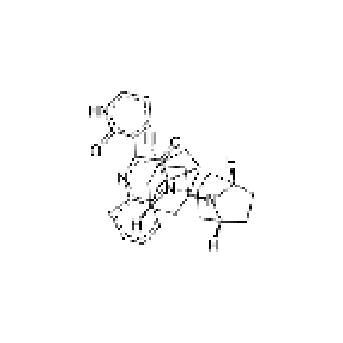 O=c1[nH]cccc1-c1nc2ccccc2n([C@H]2C[C@H]3CC[C@@H](C2)N3[C@@]23C[C@@H]4CC2C[C@@H](C4)C3)c1=O